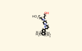 CC1(C)CCC(C)(C)c2cc(-c3cccc(N4CCC(N(CCCCO)CCCC(=O)O)CC4)n3)ccc21